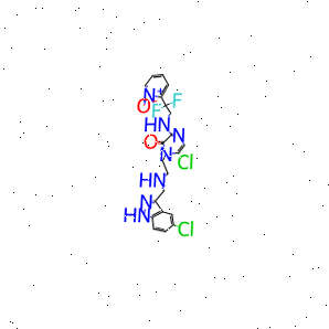 O=c1c(NCC(F)(F)c2cccc[n+]2[O-])ncc(Cl)n1CCNCc1n[nH]c2ccc(Cl)cc12